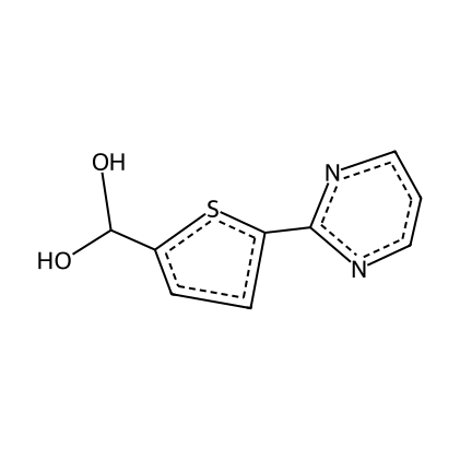 OC(O)c1ccc(-c2ncccn2)s1